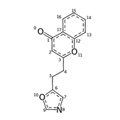 O=c1cc(CCc2cnco2)oc2ccccc12